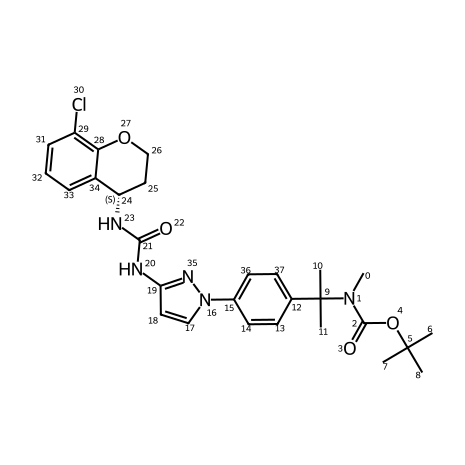 CN(C(=O)OC(C)(C)C)C(C)(C)c1ccc(-n2ccc(NC(=O)N[C@H]3CCOc4c(Cl)cccc43)n2)cc1